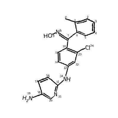 Cc1ccccc1C(=NO)c1ccc(Nc2ccc(N)cn2)cc1Cl